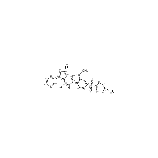 COc1cc(S(=O)(=O)N2CCN(C)CC2)ccc1-c1nc2c(C)nc(-c3ccccc3)n2c(=O)[nH]1